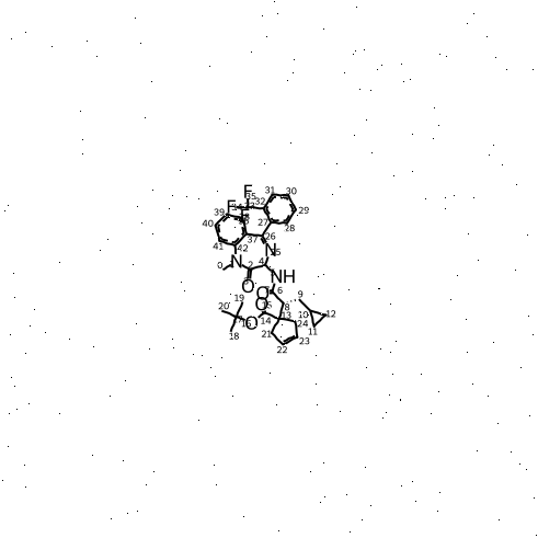 CN1C(=O)C(NC(=O)[C@H](CC2CC2)C2(C(=O)OC(C)(C)C)CC=CC2)N=C(c2ccccc2C(F)(F)F)c2ccccc21